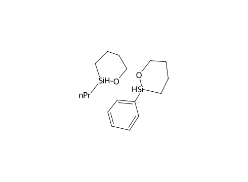 CCC[SiH]1CCCCO1.c1ccc([SiH]2CCCCO2)cc1